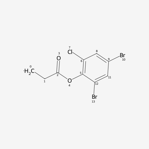 [CH2]CC(=O)Oc1c(Cl)cc(Br)cc1Br